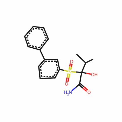 CC(C)C(O)(C(N)=O)S(=O)(=O)c1cccc(-c2ccccc2)c1